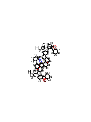 CC1(C)c2cc3cc(N(c4ccccc4-c4ccccc4)c4cc5cc6c(cc5c5ccccc45)-c4c(ccc5oc7ccccc7c45)C6(C)C)c4ccccc4c3cc2-c2c1ccc1oc3ccccc3c21